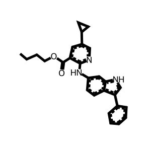 CCCCOC(=O)c1cc(C2CC2)cnc1Nc1ccc2c(-c3ccccc3)c[nH]c2c1